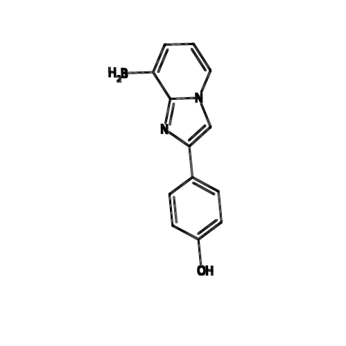 Bc1cccn2cc(-c3ccc(O)cc3)nc12